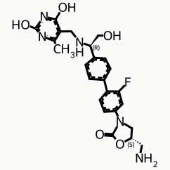 Cc1nc(O)nc(O)c1CN[C@@H](CO)c1ccc(-c2ccc(N3C[C@H](CN)OC3=O)cc2F)cc1